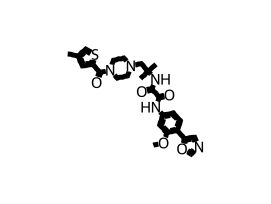 COc1cc(NC(=O)C(=O)NC(C)(C)CN2CCN(C(=O)c3cc(C)cs3)CC2)ccc1-c1cnco1